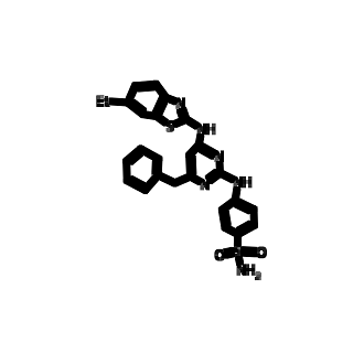 CCc1ccc2nc(Nc3cc(Cc4ccccc4)nc(Nc4ccc(S(N)(=O)=O)cc4)n3)sc2c1